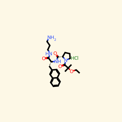 CCOC(C)(C)C(=O)N1CCC[C@H]1C(=O)N[C@H](Cc1ccc2ccccc2c1)C(=O)NCCCN.Cl